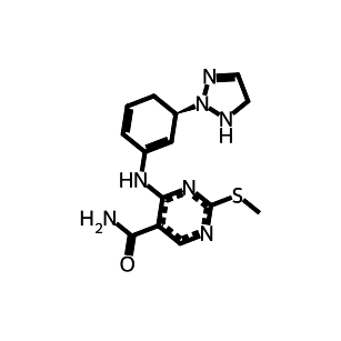 CSc1ncc(C(N)=O)c(NC2=C[C@H](N3N=CCN3)CC=C2)n1